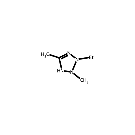 CCN1N=C(C)NN1C